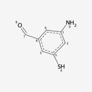 Nc1cc(S)cc(C=O)c1